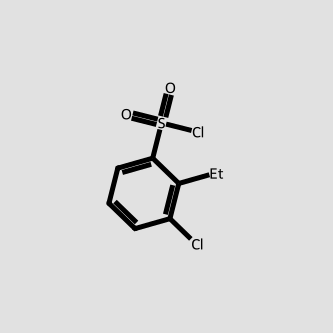 CCc1c(Cl)cccc1S(=O)(=O)Cl